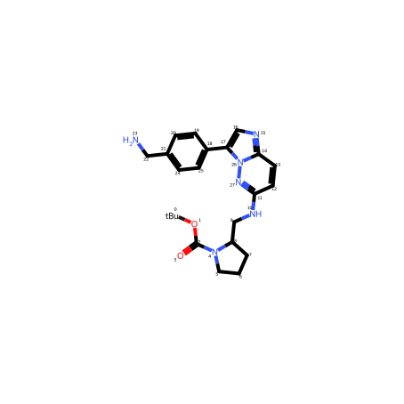 CC(C)(C)OC(=O)N1CCCC1CNc1ccc2ncc(-c3ccc(CN)cc3)n2n1